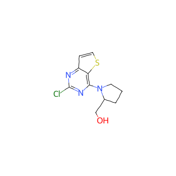 OCC1CCCN1c1nc(Cl)nc2ccsc12